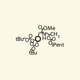 CCCC(C)OC(=O)OC(C)CN[C@@H](Cc1ccc(OC(=O)OCC(C)(C)C)c(OC(=O)OCC(C)(C)C)c1)C(=O)OC